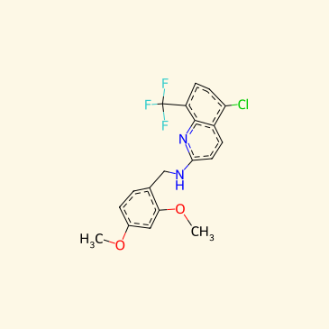 COc1ccc(CNc2ccc3c(Cl)ccc(C(F)(F)F)c3n2)c(OC)c1